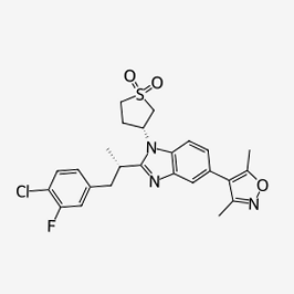 Cc1noc(C)c1-c1ccc2c(c1)nc([C@@H](C)Cc1ccc(Cl)c(F)c1)n2[C@@H]1CCS(=O)(=O)C1